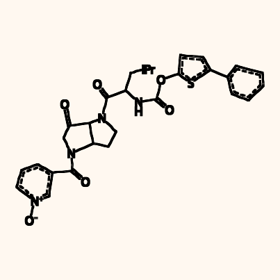 CC(C)CC(NC(=O)Oc1ccc(-c2ccccc2)s1)C(=O)N1CCC2C1C(=O)CN2C(=O)c1ccc[n+]([O-])c1